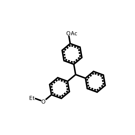 CCOc1ccc(C(c2ccccc2)c2ccc(OC(C)=O)cc2)cc1